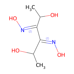 CC(O)C(=N\O)/C(=N/O)C(C)O